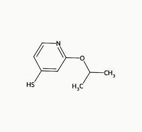 CC(C)Oc1cc(S)ccn1